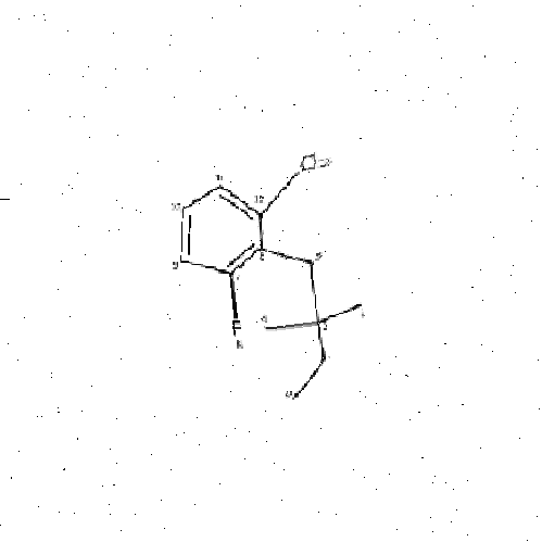 CCC(C)(C)Cc1c(F)cccc1Cl